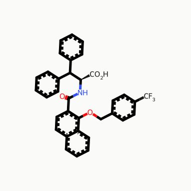 O=C(N[C@H](C(=O)O)C(c1ccccc1)c1ccccc1)c1ccc2ccccc2c1OCc1ccc(C(F)(F)F)cc1